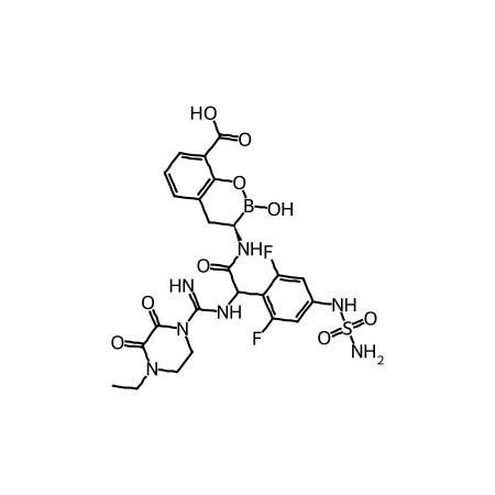 CCN1CCN(C(=N)NC(C(=O)N[C@H]2Cc3cccc(C(=O)O)c3OB2O)c2c(F)cc(NS(N)(=O)=O)cc2F)C(=O)C1=O